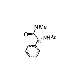 CNC(=O)[C@H](NC(C)=O)c1ccccc1